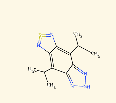 CC(C)c1c2c(c(C(C)C)c3n[nH]nc13)N=S=N2